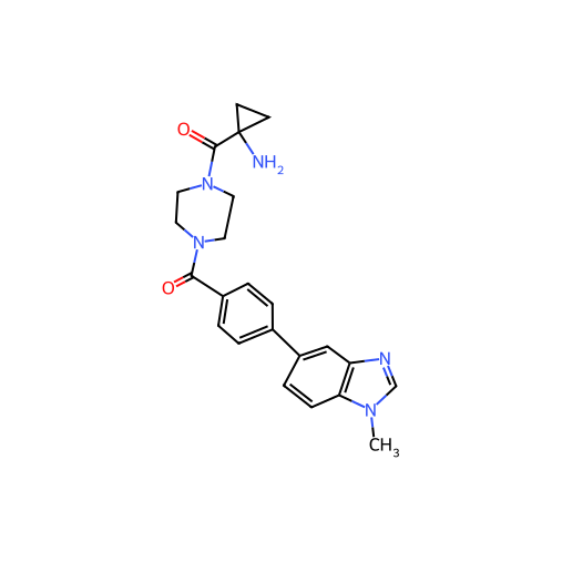 Cn1cnc2cc(-c3ccc(C(=O)N4CCN(C(=O)C5(N)CC5)CC4)cc3)ccc21